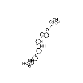 CS(=O)(=O)CCCOc1cccc2c1ccn2-c1ccnc(NC2CCC(N3CCC(OP(=O)(O)O)CC3)CC2)n1